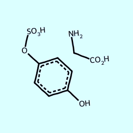 NCC(=O)O.O=S(=O)(O)Oc1ccc(O)cc1